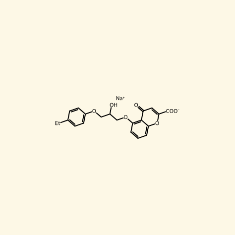 CCc1ccc(OCC(O)COc2cccc3oc(C(=O)[O-])cc(=O)c23)cc1.[Na+]